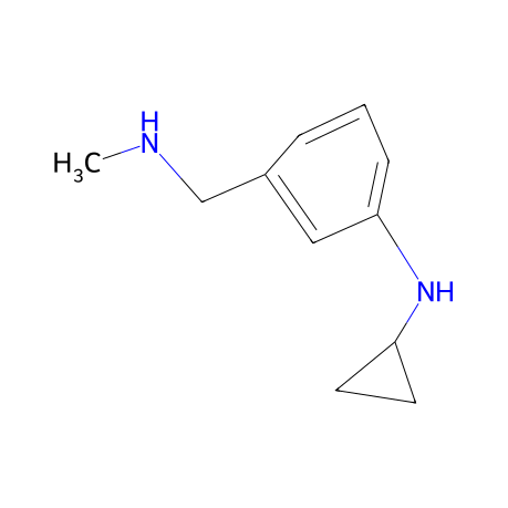 CNCc1cccc(NC2CC2)c1